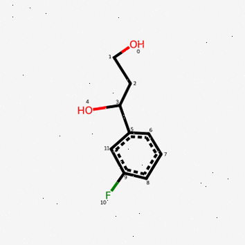 OCCC(O)c1cccc(F)c1